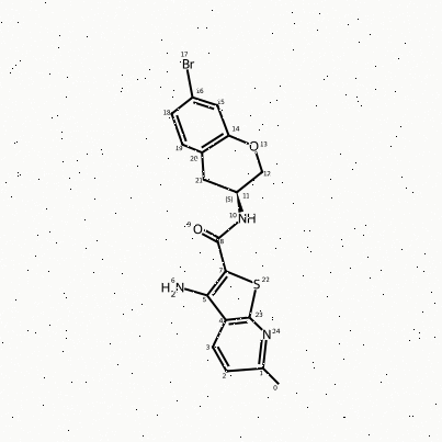 Cc1ccc2c(N)c(C(=O)N[C@@H]3COc4cc(Br)ccc4C3)sc2n1